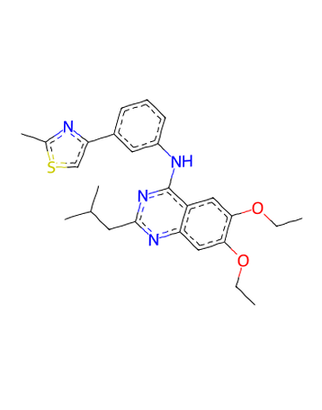 CCOc1cc2nc(CC(C)C)nc(Nc3cccc(-c4csc(C)n4)c3)c2cc1OCC